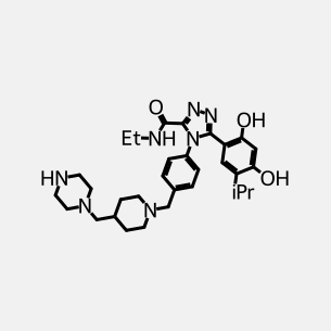 CCNC(=O)c1nnc(-c2cc(C(C)C)c(O)cc2O)n1-c1ccc(CN2CCC(CN3CCNCC3)CC2)cc1